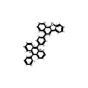 c1ccc(-c2c3ccccc3c(-c3ccc(-c4cc5c6ccccc6oc5c5ccccc45)cc3)c3ccccc23)cc1